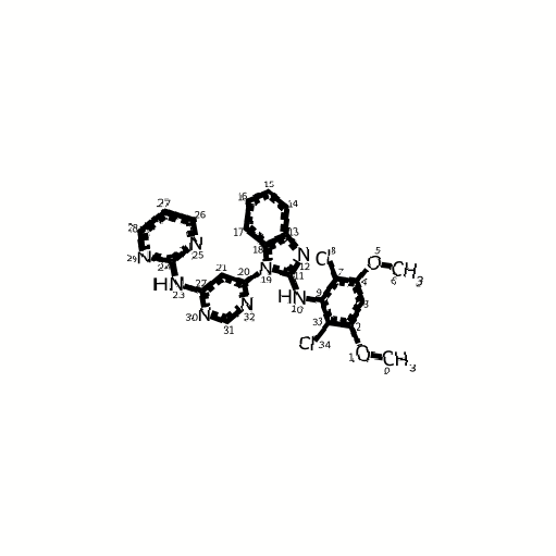 COc1cc(OC)c(Cl)c(Nc2nc3ccccc3n2-c2cc(Nc3ncccn3)ncn2)c1Cl